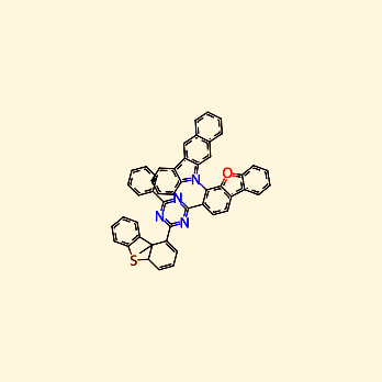 CC12C(c3nc(-c4ccccc4)nc(-c4ccc5c(oc6ccccc65)c4-n4c5ccccc5c5cc6ccccc6cc54)n3)=CC=CC1Sc1ccccc12